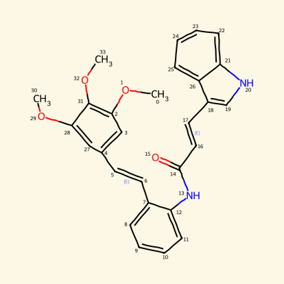 COc1cc(/C=C/c2ccccc2NC(=O)/C=C/c2c[nH]c3ccccc23)cc(OC)c1OC